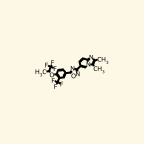 Cc1nc2ccc(-c3noc(-c4ccc(OC(C)C(F)(F)F)c(C(F)(F)F)c4)n3)cn2c1C